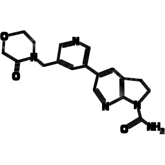 NC(=O)N1CCc2cc(-c3cncc(CN4CCOCC4=O)c3)cnc21